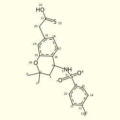 CC1(C)CC(NS(=O)(=O)c2ccc(F)cc2)c2ccc(CC(O)=S)cc2O1